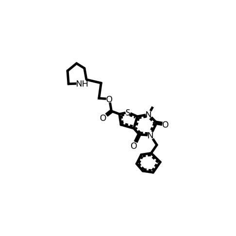 Cn1c(=O)n(Cc2ccccc2)c(=O)c2cc(C(=O)OCCC3CCCCN3)sc21